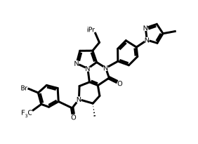 Cc1cnn(-c2ccc(-n3c(=O)c4c(n5ncc(CC(C)C)c35)CN(C(=O)c3ccc(Br)c(C(F)(F)F)c3)[C@@H](C)C4)cc2)c1